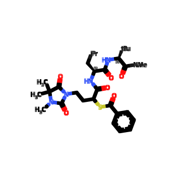 CNC(=O)[C@@H](NC(=O)[C@H](CC(C)C)NC(=O)C(CCN1C(=O)N(C)C(C)(C)C1=O)SC(=O)c1ccccc1)C(C)(C)C